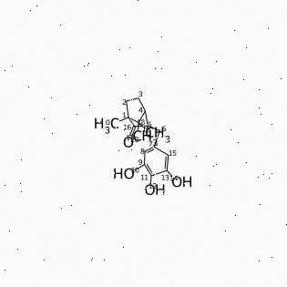 CC12CCC(C(Cc3cc(O)c(O)c(O)c3)C1=O)C2(C)C